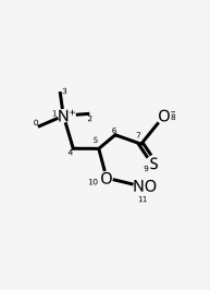 C[N+](C)(C)CC(CC([O-])=S)ON=O